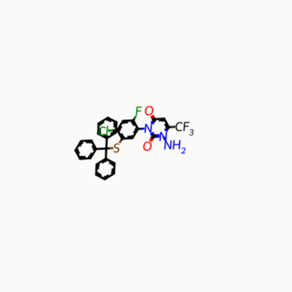 Nn1c(C(F)(F)F)cc(=O)n(-c2cc(SC(c3ccccc3)(c3ccccc3)c3ccccc3)c(Cl)cc2F)c1=O